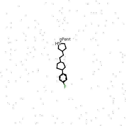 CCCCC[SiH]1CCC(CCC2CCC(c3ccc(F)cc3)CC2)CC1